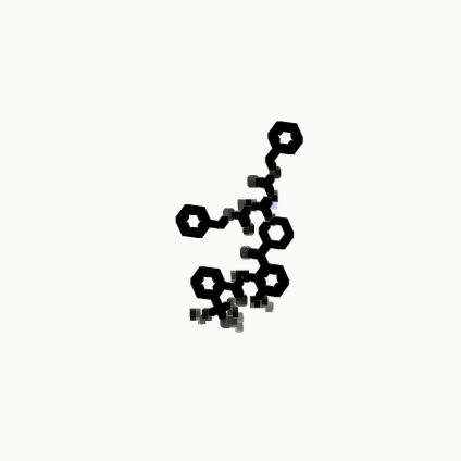 CC(C)(C)c1ccccc1C(=O)Nc1c(N)cccc1C(=O)C1CCCN(/C(=N/C(=O)OCc2ccccc2)NC(=O)OCc2ccccc2)C1